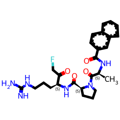 C[C@H](NC(=O)c1ccc2ccccc2c1)C(=O)N1CCC[C@H]1C(=O)N[C@@H](CCCNC(=N)N)C(=O)CF